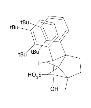 CC(C)(C)c1cccc(C2(I)C3(c4cccc(C(C)(C)C)c4C(C)(C)C)CCC(C)(C3(C)C)C2(O)S(=O)(=O)O)c1C(C)(C)C